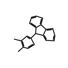 [CH2]c1cc(C2c3ccccc3-c3ccccc32)ccc1C